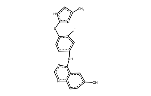 Cc1c[nH]c(Sc2ccc(Nc3ncnc4ccc(O)cc34)cc2F)n1